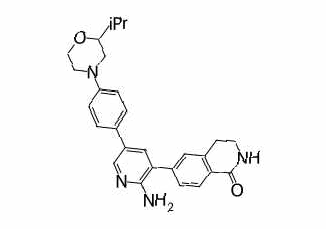 CC(C)C1CN(c2ccc(-c3cnc(N)c(-c4ccc5c(c4)CCNC5=O)c3)cc2)CCO1